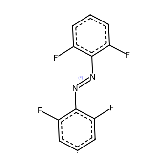 Fc1c[c]cc(F)c1/N=N/c1c(F)cccc1F